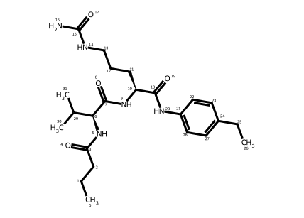 CCCC(=O)N[C@H](C(=O)N[C@@H](CCCNC(N)=O)C(=O)Nc1ccc(CC)cc1)C(C)C